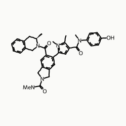 CNC(=O)N1Cc2cc(C(=O)N3Cc4ccccc4C[C@H]3C)c(-c3cc(C(=O)N(C)c4ccc(O)cc4)c(C)n3C)cc2C1